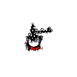 CC(=O)O[C@H]1[C@H](C)[C@H](O)[C@H](C)[C@@H](O)[C@@H](C)/C=C/C=C(/C)C(=O)NC2=C(O)c3c(O)c(C)c4c(c3C3=NC5(CCN(CC(C)C)CC5)N(C(=O)OCOC(=O)CCCC(C=O)C=O)C32)C(=O)[C@@](C)(O/C=C/[C@H](C)[C@H]1C)O4